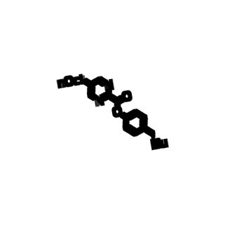 CCCCCCCCc1cnc(C(=O)Oc2ccc(C[C@@H](C)CC)cc2)nc1